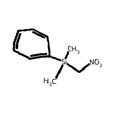 C[Si](C)(C[N+](=O)[O-])c1ccccc1